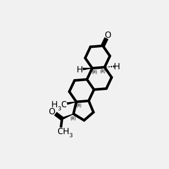 CC(=O)[C@@H]1CCC2C3CC[C@@H]4CC(=O)CC[C@H]4C3CC[C@]21C